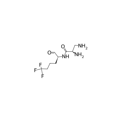 NC[C@@H](N)C(=O)N[C@H](C=O)CCCC(F)(F)F